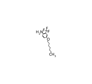 CCCCCCCOc1ccc(N)c(C(F)(F)F)c1